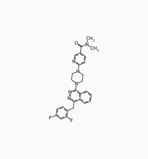 CN(C)C(=O)c1ccc(N2CCN(c3nnc(Cc4ccc(F)cc4F)c4ccccc34)CC2)nc1